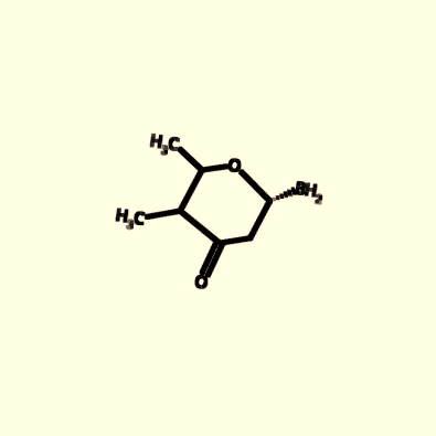 B[C@@H]1CC(=O)C(C)C(C)O1